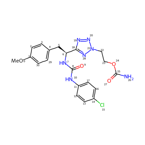 COc1ccc(C[C@H](NC(=O)Nc2ccc(Cl)cc2)c2nnn(CCOC(N)=O)n2)cc1